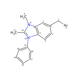 CC(=O)Cc1ccc2c(c1)n(C)c(C)[n+]2-c1ccccc1